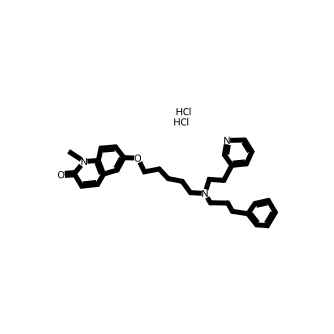 Cl.Cl.Cn1c(=O)ccc2cc(OCCCCCN(CCCc3ccccc3)CCc3cccnc3)ccc21